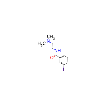 CN(C)CCNC(=O)c1cccc(I)c1